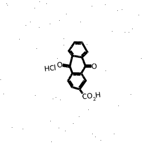 Cl.O=C(O)c1ccc2c(c1)C(=O)c1ccccc1C2=O